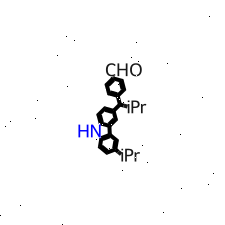 CC(C)c1ccc2[nH]c3ccc(C(c4ccc(C=O)cc4)C(C)C)cc3c2c1